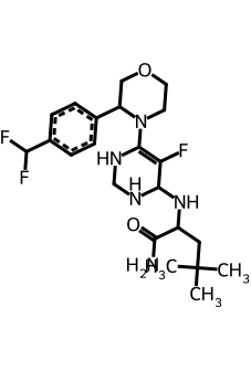 CC(C)(C)CC(NC1NCNC(N2CCOCC2c2ccc(C(F)F)cc2)=C1F)C(N)=O